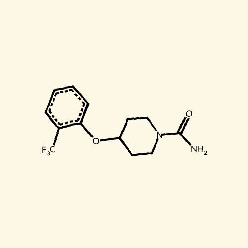 NC(=O)N1CCC(Oc2ccccc2C(F)(F)F)CC1